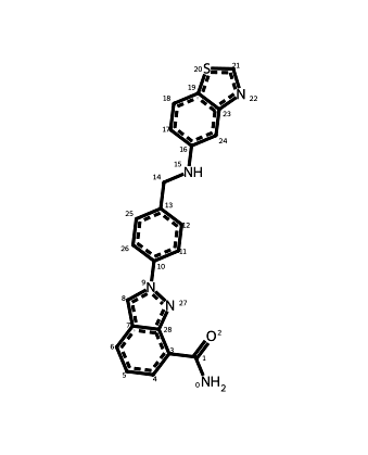 NC(=O)c1cccc2cn(-c3ccc(CNc4ccc5scnc5c4)cc3)nc12